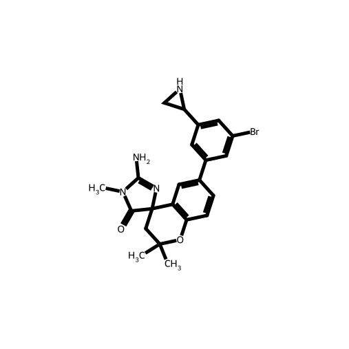 CN1C(=O)C2(CC(C)(C)Oc3ccc(-c4cc(Br)cc(C5CN5)c4)cc32)N=C1N